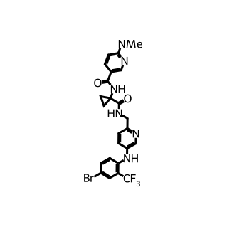 CNc1ccc(C(=O)NC2(C(=O)NCc3ccc(Nc4ccc(Br)cc4C(F)(F)F)cn3)CC2)cn1